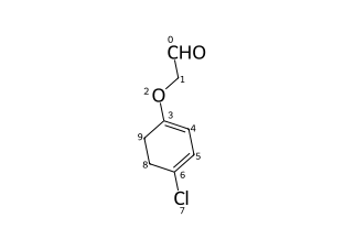 O=CCOC1=CC=C(Cl)CC1